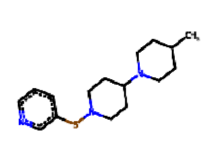 CC1CCN(C2CCN(Sc3cccnc3)CC2)CC1